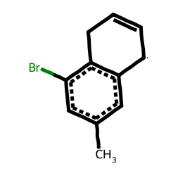 Cc1cc(Br)c2c(c1)[CH]C=CC2